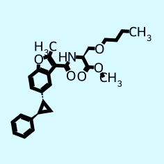 CCCCOC[C@H](NC(=O)c1c(C)oc2ccc([C@@H]3C[C@H]3c3ccccc3)cc12)C(=O)OC